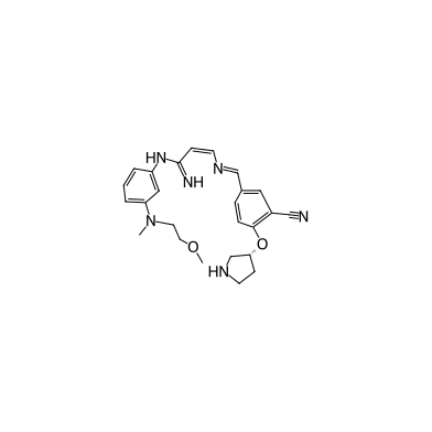 COCCN(C)c1cccc(NC(=N)/C=C\N=C\c2ccc(O[C@@H]3CCNC3)c(C#N)c2)c1